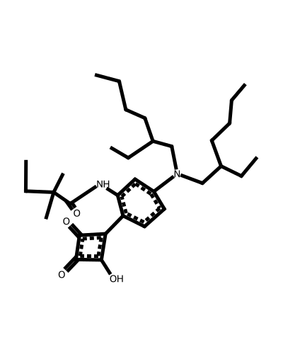 CCCCC(CC)CN(CC(CC)CCCC)c1ccc(-c2c(O)c(=O)c2=O)c(NC(=O)C(C)(C)CC)c1